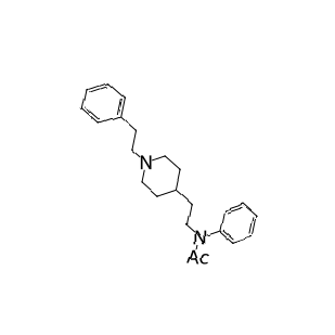 CC(=O)N(CCC1CCN(CCc2ccccc2)CC1)c1ccccc1